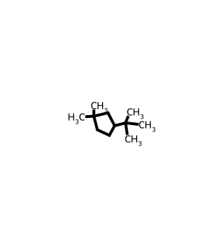 CC1(C)CCC(C(C)(C)C)C1